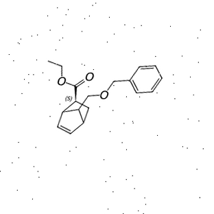 CCOC(=O)[C@H]1CC2C=CC1C2COCc1ccccc1